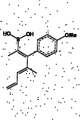 C=C/C=C(C)/C(=C(\C)B(O)O)c1ccc(OC)cc1